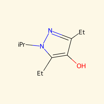 CCc1nn(C(C)C)c(CC)c1O